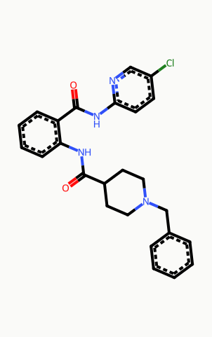 O=C(Nc1ccc(Cl)cn1)c1ccccc1NC(=O)C1CCN(Cc2ccccc2)CC1